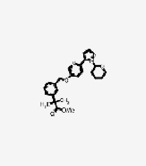 COC(=O)C(C)(C)c1cccc(COc2ccc(-c3ccnn3C3CCCCO3)nc2)c1